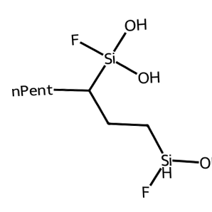 CCCCCC(CC[SiH](O)F)[Si](O)(O)F